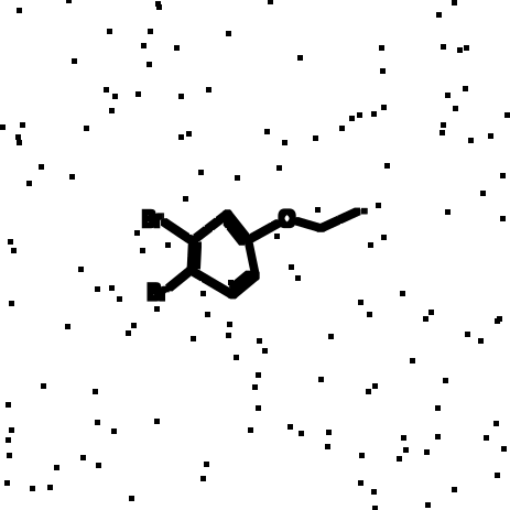 [CH2]COc1ccc(Br)c(Br)c1